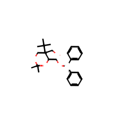 CC1(C)OCC(CO)(C(C)(C)C)C(CO[SiH](c2ccccc2)c2ccccc2)O1